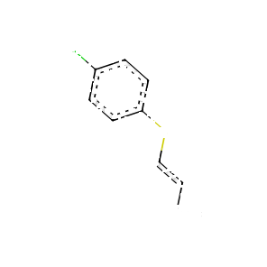 O=C(O)/C=C/Sc1ccc(Cl)cc1